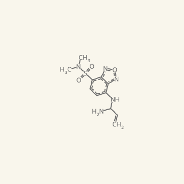 C=CC(N)Nc1ccc(S(=O)(=O)N(C)C)c2nonc12